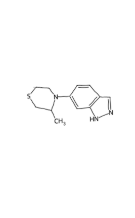 CC1CS[CH]CN1c1ccc2cn[nH]c2c1